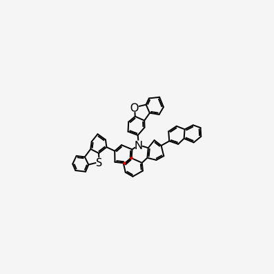 c1ccc(-c2ccc(-c3ccc4ccccc4c3)cc2N(c2cccc(-c3cccc4c3sc3ccccc34)c2)c2ccc3oc4ccccc4c3c2)cc1